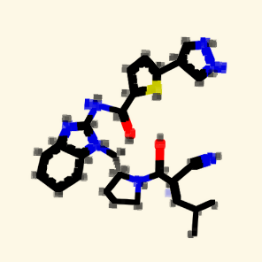 CC(C)/C=C(\C#N)C(=O)N1CCC[C@@H]1Cn1c(NC(=O)c2ccc(-c3cn[nH]c3)s2)nc2ccccc21